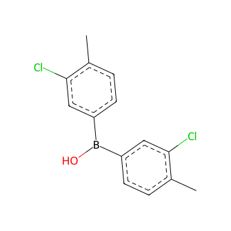 Cc1ccc(B(O)c2ccc(C)c(Cl)c2)cc1Cl